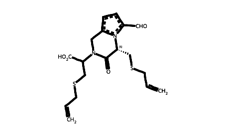 C=CCSCC(C(=O)O)N1Cc2ccc(C=O)n2[C@H](CSCC=C)C1=O